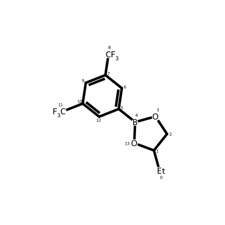 CCC1COB(c2cc(C(F)(F)F)cc(C(F)(F)F)c2)O1